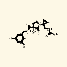 CC(=O)NCC1(N2CC[C@](O)(C(=O)NCc3cc(F)cc(Cl)c3)C2=O)CC1